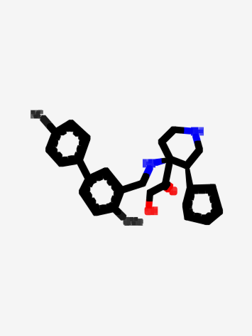 COc1ccc(-c2ccc(C#N)cc2)cc1CN[C@@]1(C(=O)CO)CCNC[C@H]1c1ccccc1